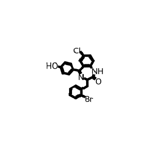 O=C1Nc2ccc(Cl)cc2C(c2ccc(O)cc2)=NC1Cc1ccccc1Br